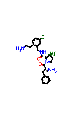 Cl.Cl.NCCc1ccc(Cl)cc1CNC(=O)[C@@H]1CCCN1C(=O)[C@H](N)Cc1ccccc1